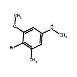 CNc1cc(C)c(Br)c(OC)c1